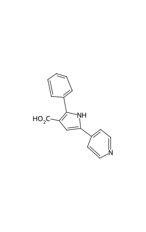 O=C(O)c1cc(-c2ccncc2)[nH]c1-c1ccccc1